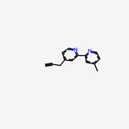 C#CCc1ccnc(-c2cc(C)ccn2)c1